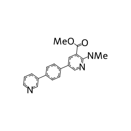 CNc1ncc(-c2ccc(-c3cccnc3)cc2)cc1C(=O)OC